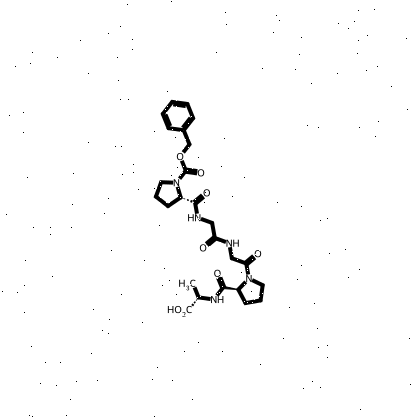 C[C@H](NC(=O)[C@@H]1CCCN1C(=O)CNC(=O)CNC(=O)[C@@H]1CCCN1C(=O)OCc1ccccc1)C(=O)O